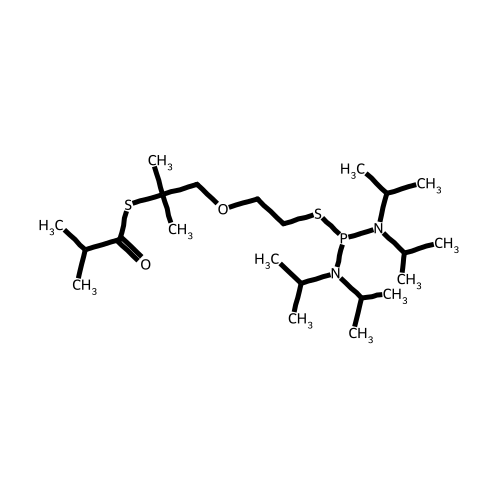 CC(C)C(=O)SC(C)(C)COCCSP(N(C(C)C)C(C)C)N(C(C)C)C(C)C